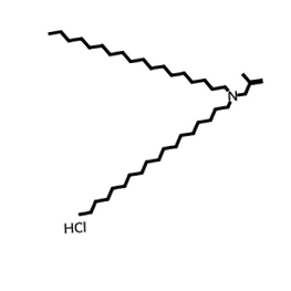 C=C(C)CN(CCCCCCCCCCCCCCCCCC)CCCCCCCCCCCCCCCCCC.Cl